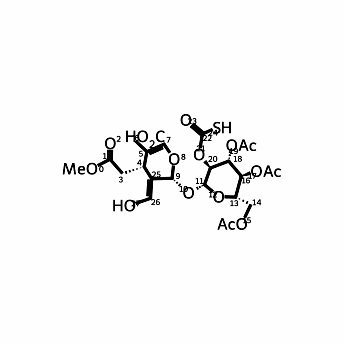 COC(=O)C[C@@H]1C(C(=O)O)=CO[C@H](O[C@H]2O[C@@H](COC(C)=O)[C@H](OC(C)=O)[C@@H](OC(C)=O)[C@@H]2OC(=O)S)/C1=C/O